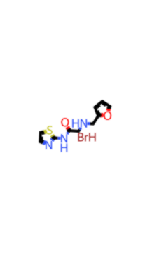 Br.O=C(CNCc1ccco1)Nc1nccs1